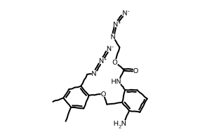 Cc1cc(CN=[N+]=[N-])c(OCc2c(N)cccc2NC(=O)OCN=[N+]=[N-])cc1C